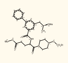 CCOC(=O)ON1CCN(C(=O)C(CCC(=O)OC(C)(C)C)NC(=O)c2cc(C[C@H](C)OC)nc(-c3ccccc3)n2)CC1